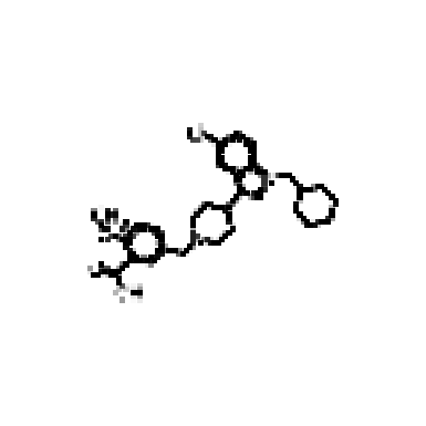 COc1ccc(CN2CCC(c3cn(CC4CCCCC4)c4ccc(Cl)cc34)CC2)cc1C(=O)O